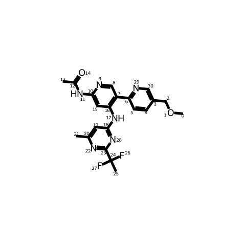 COCc1ccc(-c2cnc(NC(C)=O)cc2Nc2cc(C)nc(C(C)(F)F)n2)nc1